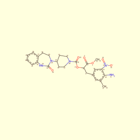 COC(=O)C(Cc1cc(C)c(N)c([N+](=O)[O-])c1)OC(=O)N1CCC(N2CCc3ccccc3NC2=O)CC1